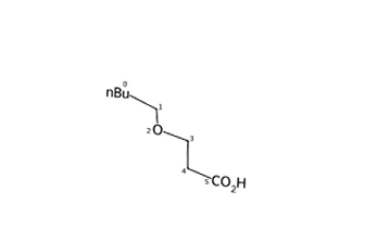 CCCCCOCCC(=O)O